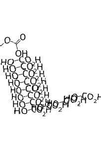 COC(=O)O.O=C(O)O.O=C(O)O.O=C(O)O.O=C(O)O.O=C(O)O.O=C(O)O.O=C(O)O.O=C(O)O.O=C(O)O.O=C(O)O.O=C(O)O